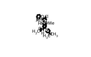 C=CC(=O)Nc1cc(Nc2ncc(Cl)c(OC3CCCN(C(C)=O)C3)n2)c(OC)cc1N1CCC(N(C)C)CC1